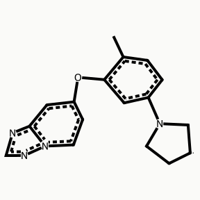 Cc1ccc(N2C[CH]CC2)cc1Oc1ccn2ncnc2c1